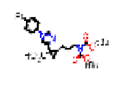 CCc1ccc(-n2cnc([C@@]3(C(=O)O)C[C@@H]3CCCN(C(=O)OC(C)(C)C)C(=O)OC(C)(C)C)c2)cc1